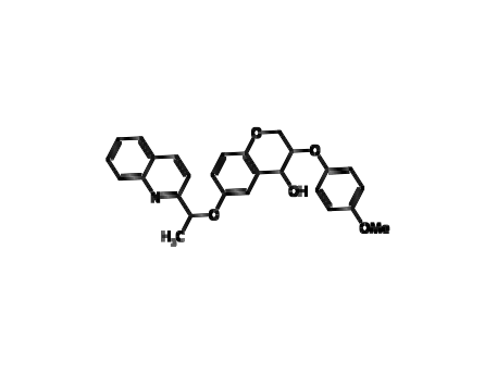 COc1ccc(OC2COc3ccc(OC(C)c4ccc5ccccc5n4)cc3C2O)cc1